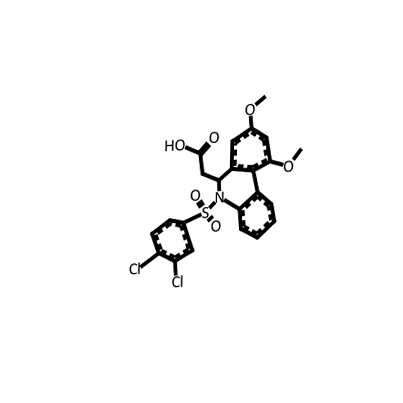 COc1cc(OC)c2c(c1)C(CC(=O)O)N(S(=O)(=O)c1ccc(Cl)c(Cl)c1)c1ccccc1-2